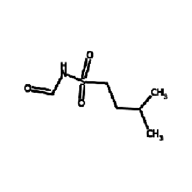 CC(C)CCS(=O)(=O)NC=O